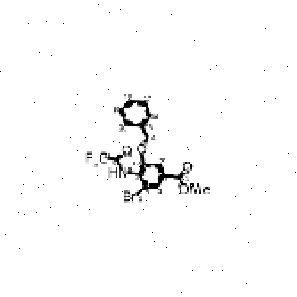 COC(=O)c1cc(Br)c(NC(=O)C(F)(F)F)c(OCc2ccccc2)c1